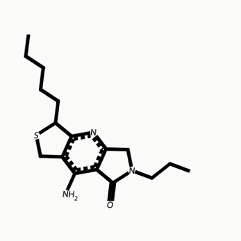 CCCCCC1SCc2c1nc1c(c2N)C(=O)N(CCC)C1